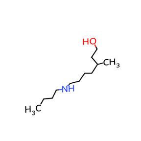 CCCCNCCCCC(C)CCO